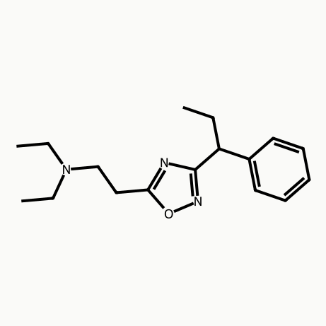 CCC(c1ccccc1)c1noc(CCN(CC)CC)n1